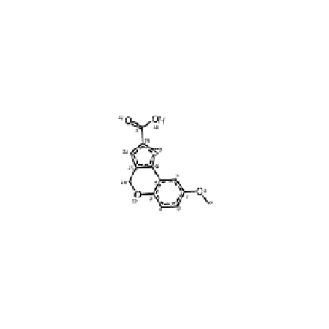 COc1ccc2c(c1)-c1sc(C(=O)O)cc1CO2